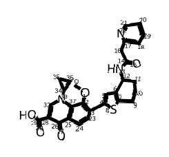 COc1c(-c2cc3c(s2)CCCC3NC(=O)Cc2ccccn2)ccc2c(=O)c(C(=O)O)cn(C3CC3)c12